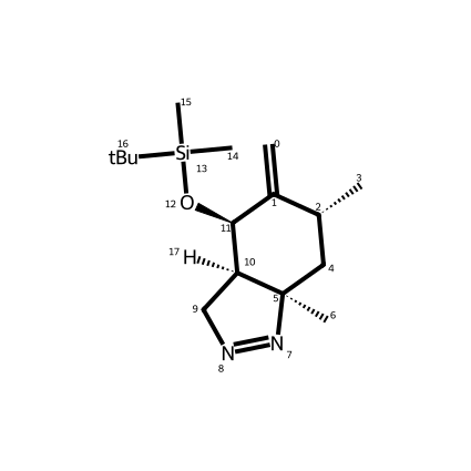 C=C1[C@H](C)C[C@@]2(C)N=NC[C@H]2[C@H]1O[Si](C)(C)C(C)(C)C